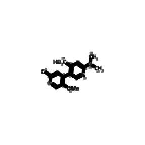 COc1cnc(Cl)cc1-c1cnc(N(C)C)cc1C(=O)O